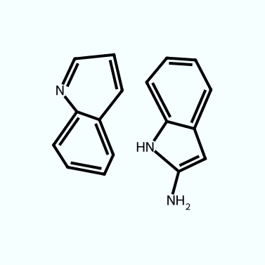 Nc1cc2ccccc2[nH]1.c1ccc2ncccc2c1